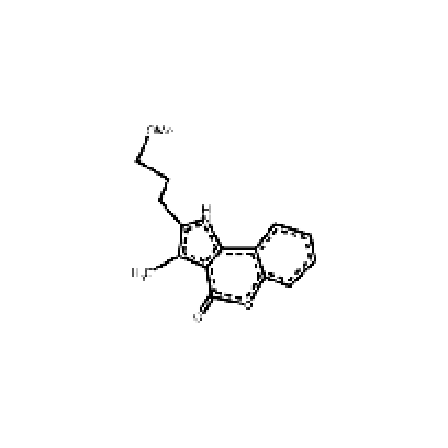 COCCCc1[nH]c2c(c1C)c(=O)oc1ccccc12